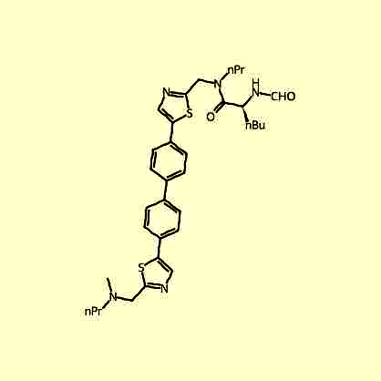 CCCC[C@H](NC=O)C(=O)N(CCC)Cc1ncc(-c2ccc(-c3ccc(-c4cnc(CN(C)CCC)s4)cc3)cc2)s1